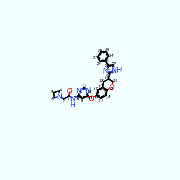 O=C(CN1CCC1)Nc1cc(Oc2ccc3c(c2)CC(c2nc(-c4ccccc4)c[nH]2)CO3)ncn1